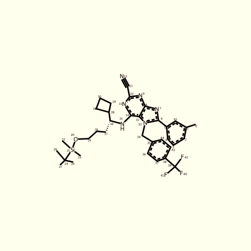 Cc1cccc(-c2nc3nc(C#N)nc(N[C@H](CCCO[Si](C)(C)C(C)(C)C)C4CCC4)c3n2Cc2ccc(C(F)(F)F)cc2)c1